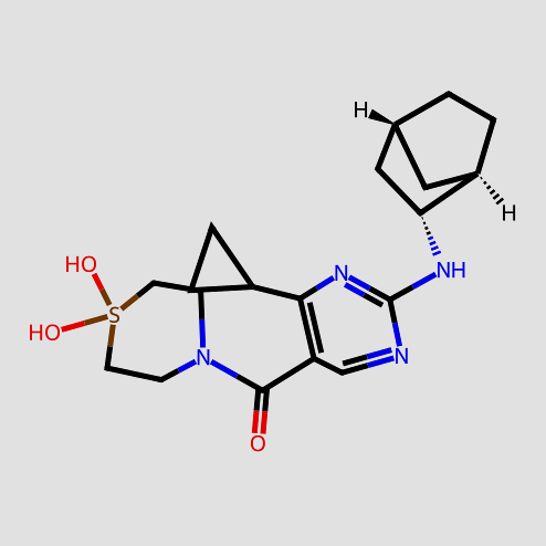 O=C(c1cnc(N[C@@H]2C[C@@H]3CC[C@@H]2C3)nc1C1CC1)N1CCS(O)(O)CC1